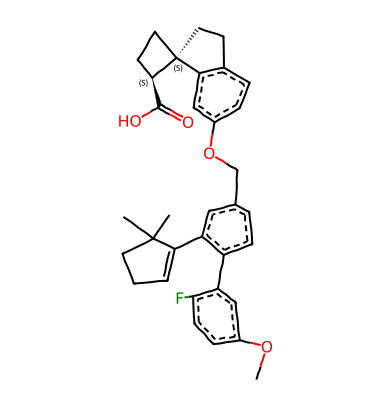 COc1ccc(F)c(-c2ccc(COc3ccc4c(c3)[C@]3(CC4)CC[C@@H]3C(=O)O)cc2C2=CCCC2(C)C)c1